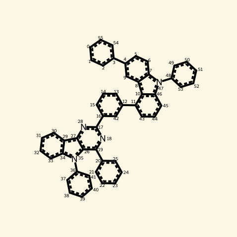 c1ccc(-c2ccc3c(c2)c2c(-c4cccc(-c5nc(-c6ccccc6)c6c(n5)c5ccccc5n6-c5ccccc5)c4)cccc2n3-c2ccccc2)cc1